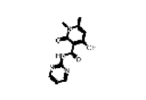 Cc1cc(O)c(C(=O)Nc2ncccn2)c(=O)n1C